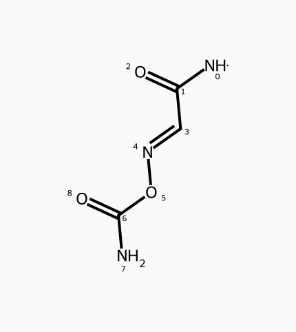 [NH]C(=O)C=NOC(N)=O